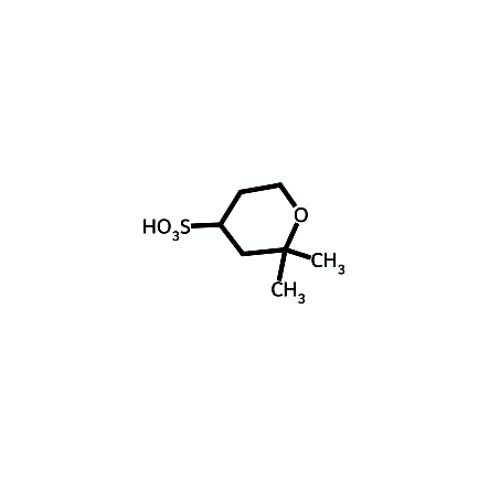 CC1(C)CC(S(=O)(=O)O)CCO1